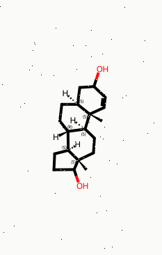 C[C@]12C=CC(O)C[C@@H]1CC[C@@H]1[C@@H]2CC[C@]2(C)C(O)CC[C@@H]12